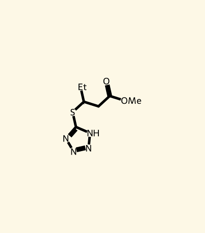 CC[C](CC(=O)OC)Sc1nnn[nH]1